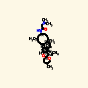 C=C[C@H]1[C@H]2[C@H](C[C@@]3(C)[C@@H]4CC[C@@H](C)C[C@H](NC(=O)CN(C)C)CCC[C@@]4(C)CC[C@]23C)O[C@]12CC[C@H](C)CO2